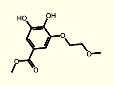 COCCOc1cc(C(=O)OC)cc(O)c1O